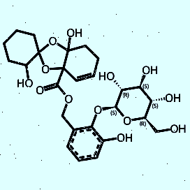 O=C(OCc1cccc(O)c1O[C@@H]1O[C@H](CO)[C@@H](O)[C@H](O)[C@H]1O)C12C=CCCC1(O)OC1(CCCCC1O)O2